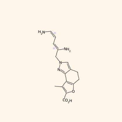 Cc1c(C(=O)O)oc2c1-c1nn(C/C(N)=C/C=C\N)cc1CC2